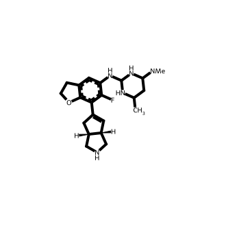 CNC1CC(C)NC(Nc2cc3c(c(C4=C[C@@H]5CNC[C@@H]5C4)c2F)OCC3)N1